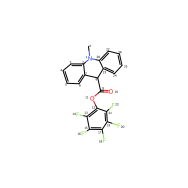 CN1c2ccccc2C(C(=O)Oc2c(F)c(F)c(F)c(F)c2F)c2ccccc21